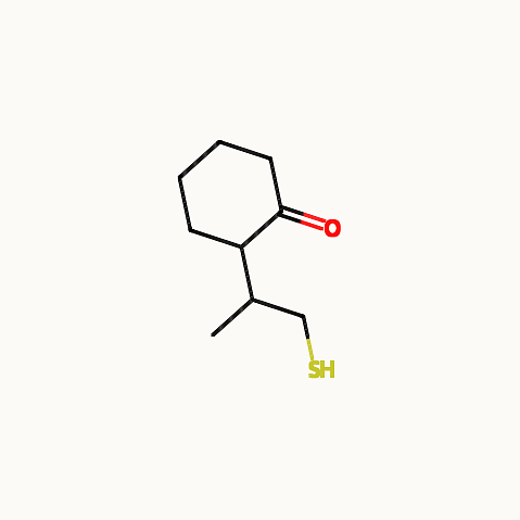 CC(CS)C1CCCCC1=O